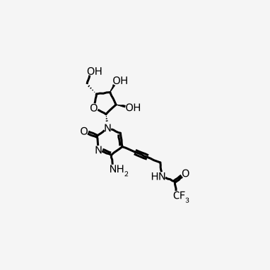 Nc1nc(=O)n([C@@H]2O[C@H](CO)[C@@H](O)[C@H]2O)cc1C#CCNC(=O)C(F)(F)F